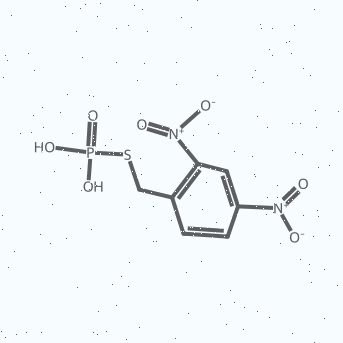 O=[N+]([O-])c1ccc(CSP(=O)(O)O)c([N+](=O)[O-])c1